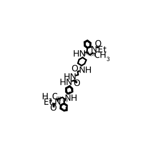 CCC(=O)N1c2ccccc2[C@H](Nc2ccc(NC(=O)NCC(=O)NC3CCC(N[C@@H]4C[C@H](C)N(C(=O)CC)c5ccccc54)CC3)cc2)C[C@@H]1C